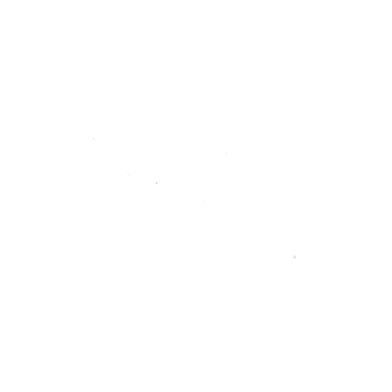 C=C(CBr)C(=O)OC(C)(C)CCCCC(C)=O